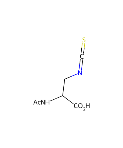 CC(=O)NC(CN=C=S)C(=O)O